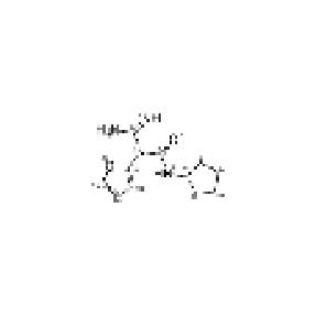 N=C(N)N(C(=O)NC1CCCC1)c1ccco1